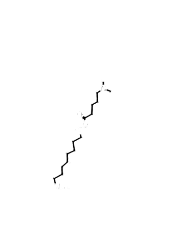 CCCCCCCCCCCCCCCCCCSOC(=O)CCCCN(C)C